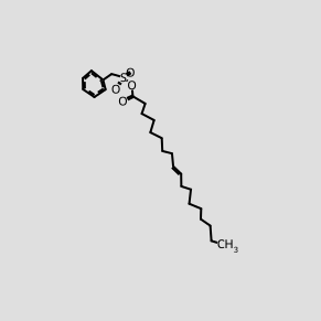 CCCCCCCCC=CCCCCCCCC(=O)OS(=O)(=O)Cc1ccccc1